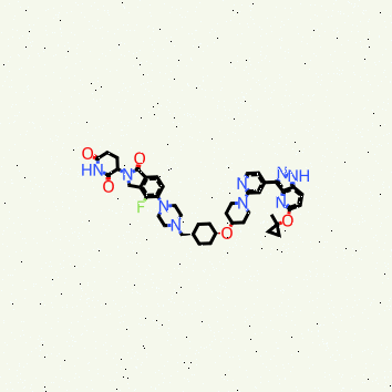 CC1(Oc2ccc3[nH]nc(-c4ccnc(N5CCC(O[C@H]6CC[C@H](CN7CCN(c8ccc9c(c8F)CN(C8CCC(=O)NC8=O)C9=O)CC7)CC6)CC5)c4)c3n2)CC1